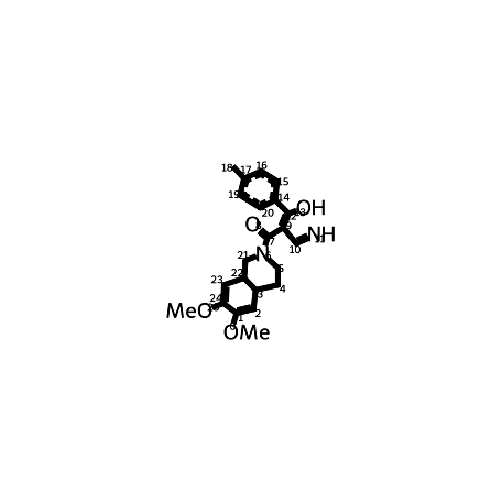 COC1=CC2CCN(C(=O)/C(C=N)=C(/O)c3ccc(C)cc3)CC2C=C1OC